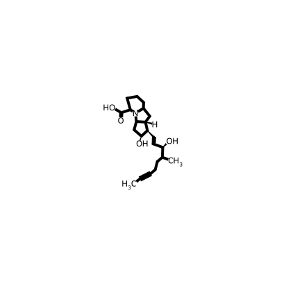 CC#CCCC(C)[C@H](O)/C=C/[C@H]1[C@H](O)CC2[C@@H]1CC1CCCC(C(=O)O)N12